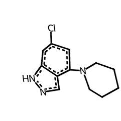 Clc1cc(N2CCCCC2)c2cn[nH]c2c1